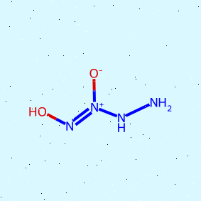 NN[N+]([O-])=NO